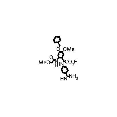 COCC(=O)Nc1cc(OCc2ccccc2)c(OC)cc1C(Nc1ccc(C(=N)N)cc1)C(=O)O